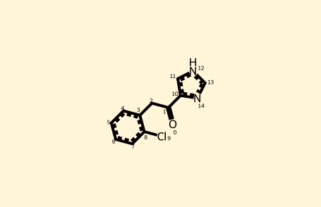 O=C(Cc1ccccc1Cl)c1c[nH]cn1